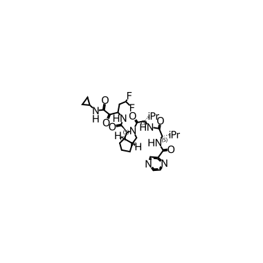 CC(C)[C@H](NC(=O)c1cnccn1)C(=O)N[C@H](C(=O)N1C[C@@H]2CCC[C@@H]2[C@H]1C(=O)NC(CC(F)F)C(=O)C(=O)NC1CC1)C(C)C